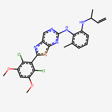 C=CC(C)Nc1cccc(C)c1Nc1ncc2nc(-c3c(Cl)c(OC)cc(OC)c3Cl)sc2n1